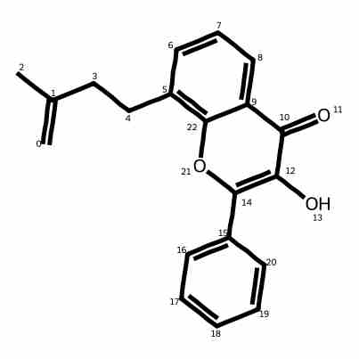 C=C(C)CCc1cccc2c(=O)c(O)c(-c3ccccc3)oc12